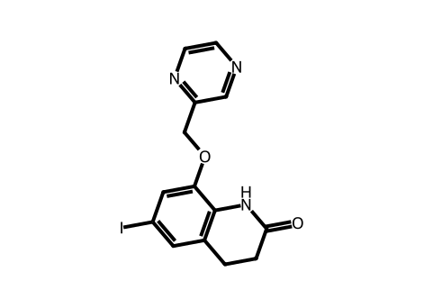 O=C1CCc2cc(I)cc(OCc3cnccn3)c2N1